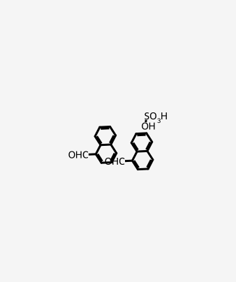 O=Cc1cccc2ccccc12.O=Cc1cccc2ccccc12.O=S(=O)(O)O